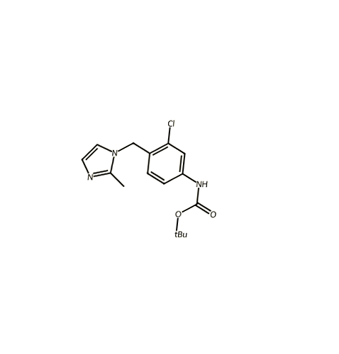 Cc1nccn1Cc1ccc(NC(=O)OC(C)(C)C)cc1Cl